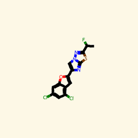 CC(F)c1nn2cc(-c3cc4c(Cl)cc(Cl)cc4o3)nc2s1